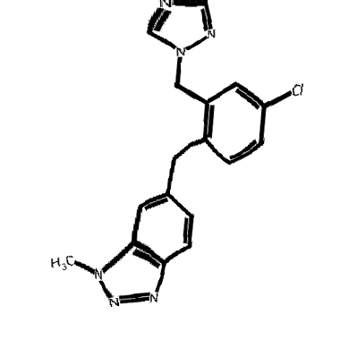 Cn1nnc2ccc(Cc3ccc(Cl)cc3Cn3cncn3)cc21